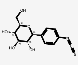 OC[C@H]1O[C@@H](c2ccc(N=C=S)cc2)[C@H](O)[C@@H](O)[C@@H]1O